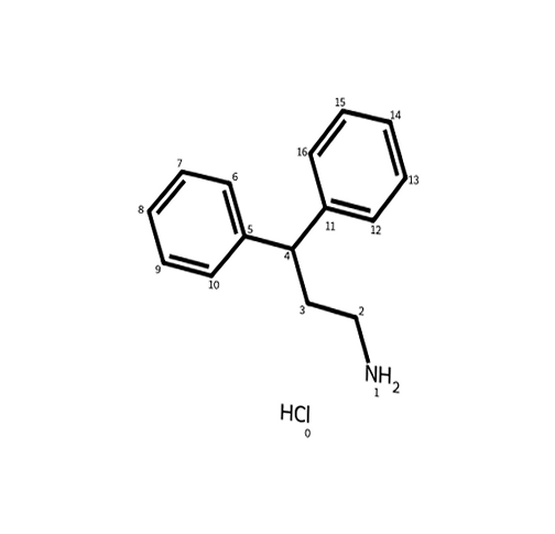 Cl.NCCC(c1ccccc1)c1ccccc1